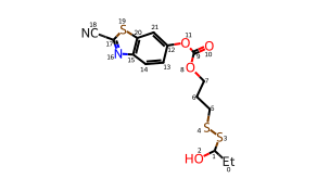 CCC(O)SSCCCOC(=O)Oc1ccc2nc(C#N)sc2c1